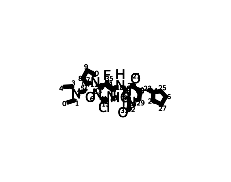 CCN(CC)C(=O)[C@@H]1CCCN1c1nc(Cl)nc(NNC(=O)[C@H](CC2CCCC2)CN(O)C=O)c1F